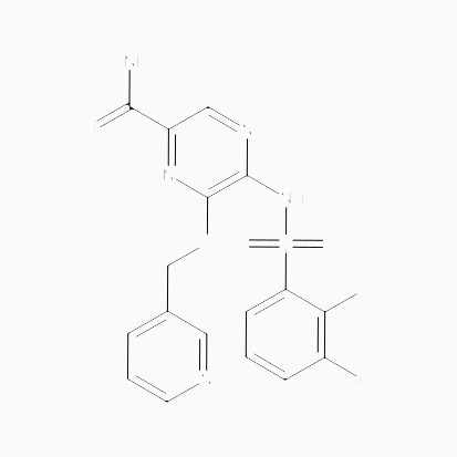 NC(=O)c1cnc(NS(=O)(=O)c2cccc(Cl)c2Cl)c(OCc2cccnc2)n1